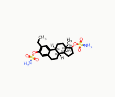 CCc1cc2c(cc1OS(N)(=O)=O)CC[C@@H]1[C@@H]2CC[C@]2(C)[C@@H](OS(N)(=O)=O)CC[C@@H]12